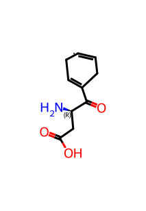 N[C@H](CC(=O)O)C(=O)C1=CC[C]=CC1